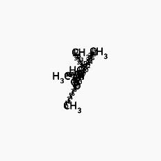 CCCCCCCCCCOC(=O)CCCN(CC(O)CC(CCCCCCCC)CCCCCCCC)OC(=O)CCCC